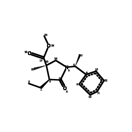 CC[C@@H]1C(=O)N([C@H](C)c2ccccc2)C[C@]1(C)C(=O)OC